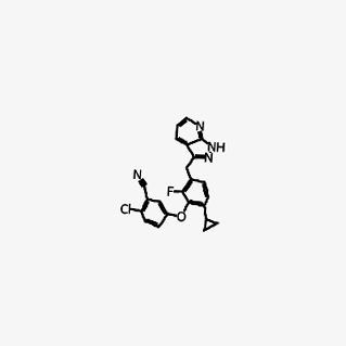 N#Cc1cc(Oc2c(C3CC3)ccc(Cc3n[nH]c4ncccc34)c2F)ccc1Cl